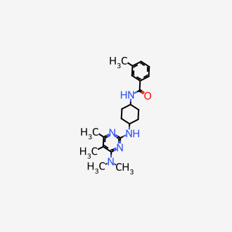 Cc1cccc(C(=O)NC2CCC(Nc3nc(C)c(C)c(N(C)C)n3)CC2)c1